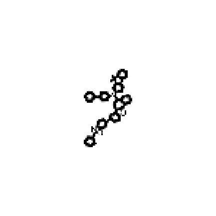 CC1(C)c2ccccc2-c2ccc(N(c3ccc(-c4ccccc4)cc3)c3cc4c5cc(-c6ccc7nc(-c8ccccc8)oc7c6)ccc5oc4c4ccccc34)cc21